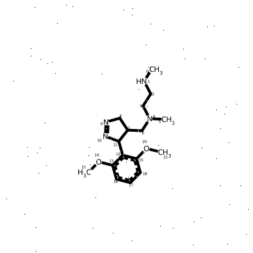 CNCCN(C)CC1CN=NC1c1c(OC)cccc1OC